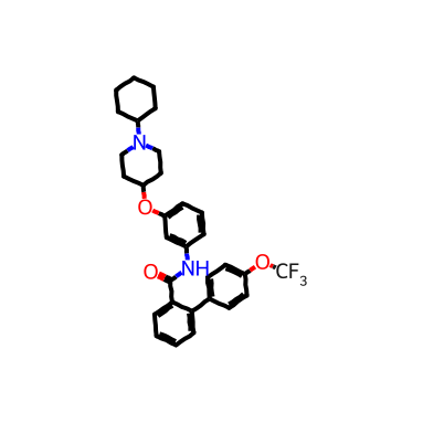 O=C(Nc1cccc(OC2CCN(C3CCCCC3)CC2)c1)c1ccccc1-c1ccc(OC(F)(F)F)cc1